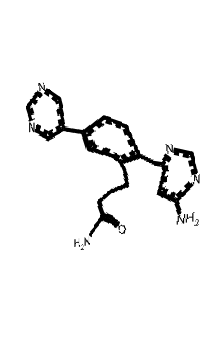 NC(=O)CCc1cc(-c2cncnc2)ccc1-c1cc(N)ncn1